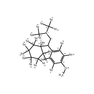 [2H]c1c([2H])c(C(CN(C([2H])([2H])[2H])C([2H])([2H])[2H])C2(O)C([2H])([2H])C([2H])([2H])C([2H])([2H])C([2H])([2H])C2([2H])[2H])c([2H])c([2H])c1OC